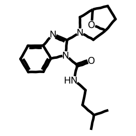 CC(C)CCNC(=O)n1c(N2CC3CCC(C2)O3)nc2ccccc21